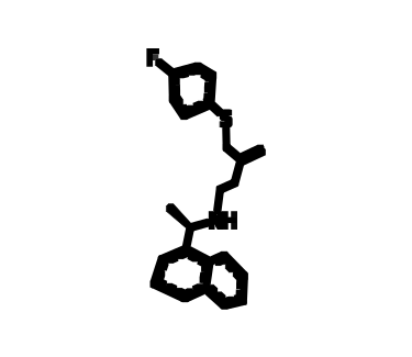 C=C(CCN[C@H](C)c1cccc2ccccc12)CSc1ccc(F)cc1